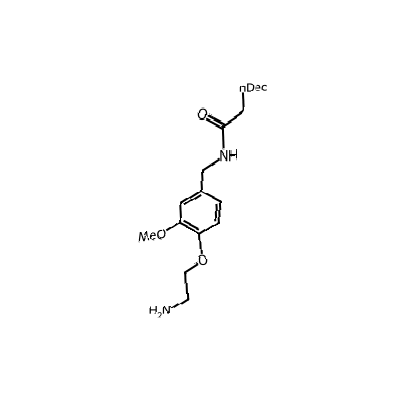 CCCCCCCCCCCC(=O)NCc1ccc(OCCN)c(OC)c1